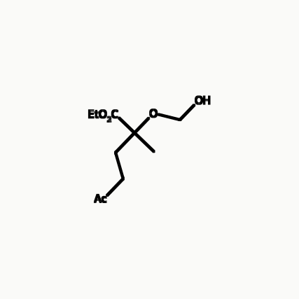 CCOC(=O)C(C)(CCC(C)=O)OCO